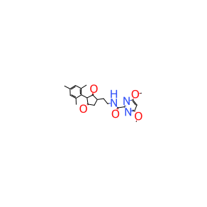 COc1cc(OC)nc(C(=O)NCCC2CC(=O)C(c3c(C)cc(C)cc3C)C2=O)n1